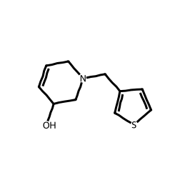 OC1C=CCN(Cc2ccsc2)C1